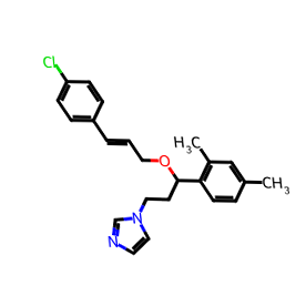 Cc1ccc(C(CCn2ccnc2)OC/C=C/c2ccc(Cl)cc2)c(C)c1